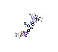 COC(=O)N[C@H](C(=O)N1CCC[C@H]1c1nc2cc([C@@H]3CC[C@@H](c4ccc5[nH]c([C@@H]6CCCN6C(=O)[C@@H](NC(=O)O)[C@@H](C)OC)nc5c4)N3c3ccc(N4CCCCC4)c(F)c3)ccc2[nH]1)[C@@H](C)OC